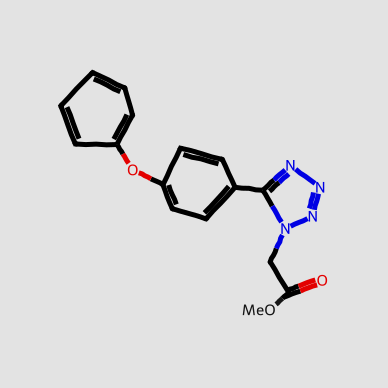 COC(=O)Cn1nnnc1-c1ccc(Oc2ccccc2)cc1